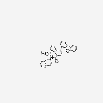 O=C1c2ccc(-c3cccc4c3oc3ccccc34)c3cccc(c23)C(O)N1c1ccc2ccccc2c1